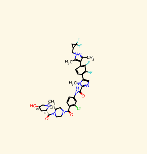 Cc1nn(CC2CC2(F)F)c(C)c1-c1ccc(-c2cnc(C(=O)Nc3ccc(C(=O)N4CCN(C(=O)[C@@H]5C[C@@H](O)C[N+]5(C)C)CC4)c(Cl)c3)n2C)c(F)c1F